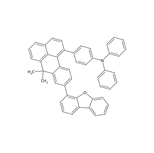 CC1(C)c2cc(-c3cccc4c3oc3ccccc34)ccc2-c2c(-c3ccc(N(c4ccccc4)c4ccccc4)cc3)ccc3cccc1c23